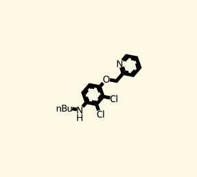 CCCCNc1ccc(OCc2ccccn2)c(Cl)c1Cl